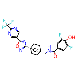 O=C(NC[C@]12CC[C@](c3noc(-c4cnc(C(F)(F)F)nc4)n3)(CC1)CC2)c1cc(F)c(O)c(F)c1